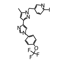 Cc1cc(-c2cn(-c3ccc(OC(F)(F)F)cc3)cn2)nn1Cc1ccc(I)nc1